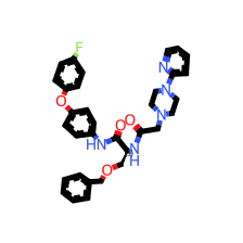 O=C(CN1CCN(c2ccccn2)CC1)N[C@@H](COCc1ccccc1)C(=O)Nc1ccc(Oc2ccc(F)cc2)cc1